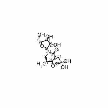 Cc1cn([C@@H]2O[C@H](CO)[C@@H](O)[C@H]2O)c(=O)n([CH]P(O)(O)=S)c1=O